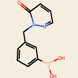 O=c1cccnn1Cc1cccc(B(O)O)c1